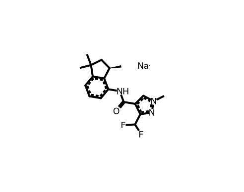 C[C@@H]1CC(C)(C)c2cccc(NC(=O)c3cn(C)nc3C(F)F)c21.[Na]